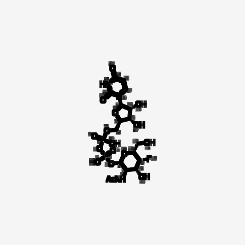 CC(=O)N[C@H]1[C@@H](OP(=O)(O)OP(=O)(O)OC[C@H]2O[C@@H](n3ccc(=O)[nH]c3=O)[C@H](O)[C@@H]2O)O[C@H](CO)[C@H](F)[C@@H]1O